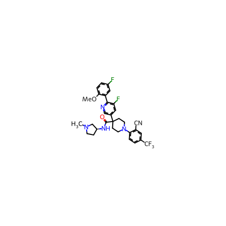 COc1ccc(F)cc1-c1ncc(C2(C(=O)N[C@H]3CCN(C)C3)CCN(c3ccc(C(F)(F)F)cc3C#N)CC2)cc1F